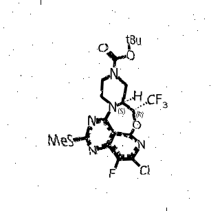 CSc1nc2c3c(nc(Cl)c(F)c3n1)O[C@@H](C(F)(F)F)[C@@H]1CN(C(=O)OC(C)(C)C)CCN21